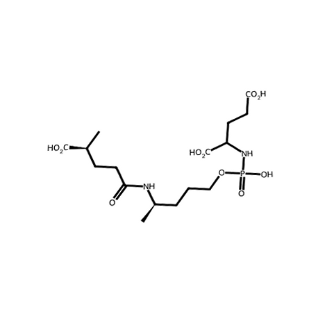 C[C@H](CCCOP(=O)(O)NC(CCC(=O)O)C(=O)O)NC(=O)CC[C@H](C)C(=O)O